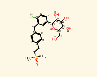 CP(C)(=O)CCc1ccc(Cc2cc([C@@H]3O[C@H](CO)[C@@H](O)[C@H](O)[C@H]3O)ccc2Cl)cc1